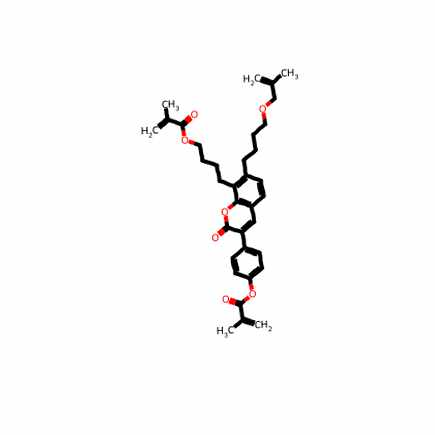 C=C(C)COCCCCc1ccc2cc(-c3ccc(OC(=O)C(=C)C)cc3)c(=O)oc2c1CCCCOC(=O)C(=C)C